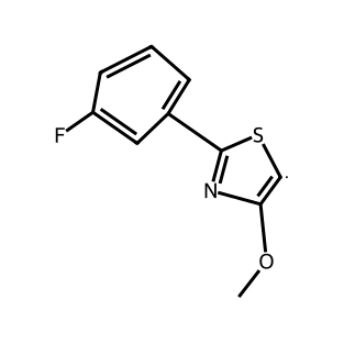 COc1[c]sc(-c2cccc(F)c2)n1